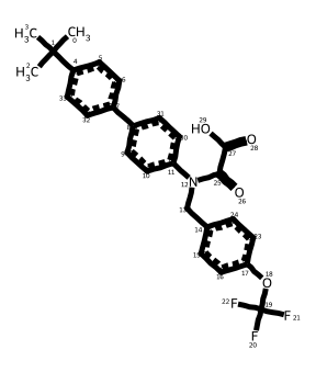 CC(C)(C)c1ccc(-c2ccc(N(Cc3ccc(OC(F)(F)F)cc3)C(=O)C(=O)O)cc2)cc1